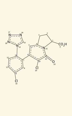 O=C(O)C1CCc2cc(-c3cc(Cl)ccc3-n3cnnn3)c(Cl)c(=O)n21